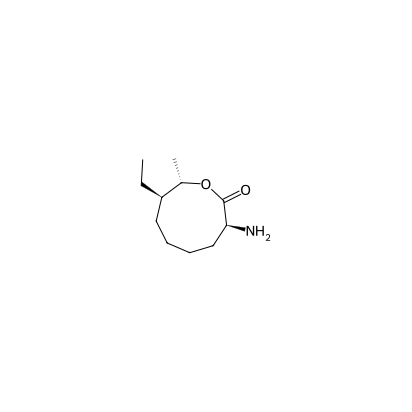 CC[C@@H]1CCCC[C@H](N)C(=O)O[C@H]1C